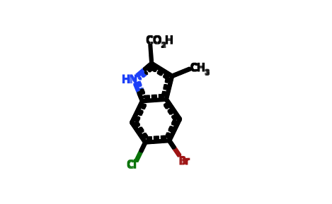 Cc1c(C(=O)O)[nH]c2cc(Cl)c(Br)cc12